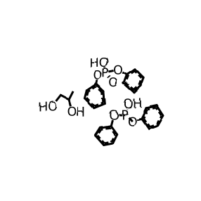 CC(O)CO.O=P(O)(Oc1ccccc1)Oc1ccccc1.OP(Oc1ccccc1)Oc1ccccc1